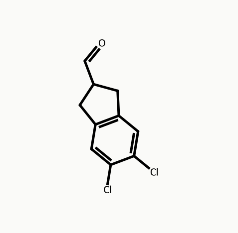 O=CC1Cc2cc(Cl)c(Cl)cc2C1